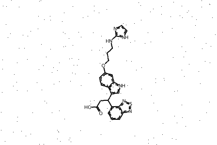 O=C(O)CC(c1c[nH]c2cc(OCCCNc3ncc[nH]3)ccc12)c1cccc2nsnc12